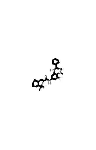 COc1c(Cl)cc(NC(=O)/C=C/c2ccccc2C(F)(F)F)cc1NC(=N)c1ccccc1